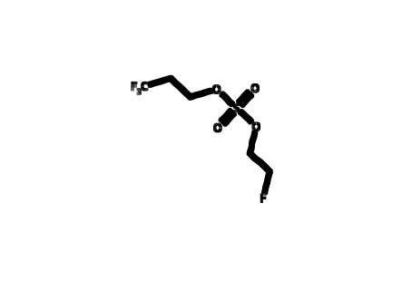 O=S(=O)(OCCF)OCCC(F)(F)F